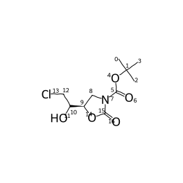 CC(C)(C)OC(=O)N1C[C@H](C(O)CCl)OC1=O